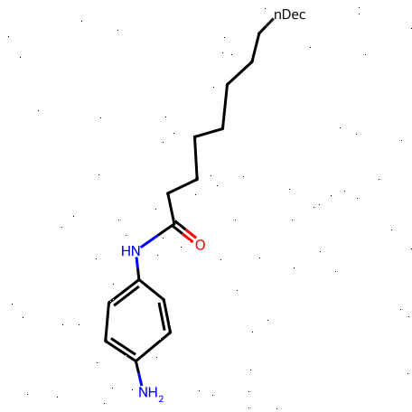 CCCCCCCCCCCCCCCCCC(=O)Nc1ccc(N)cc1